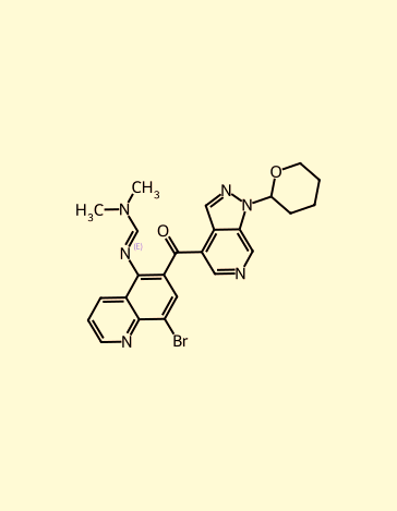 CN(C)/C=N/c1c(C(=O)c2cncc3c2cnn3C2CCCCO2)cc(Br)c2ncccc12